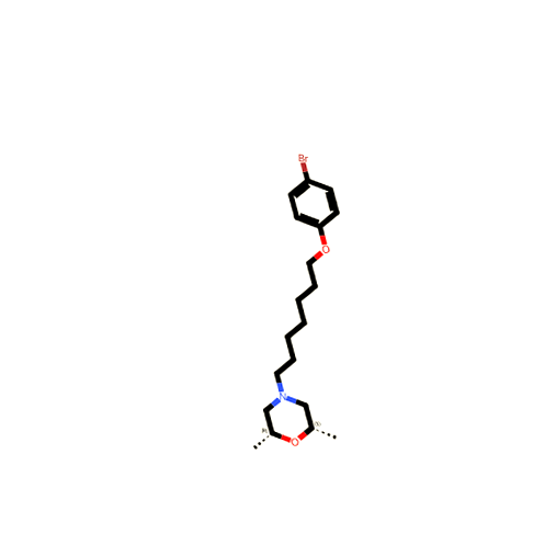 C[C@@H]1CN(CCCCCCCOc2ccc(Br)cc2)C[C@H](C)O1